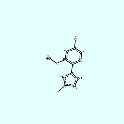 Cc1noc(-c2ccc(Cl)cc2CO)n1